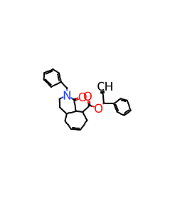 C#CC(OC(=O)C1CC=CCC2CCN(Cc3ccccc3)C(=O)C21)c1ccccc1